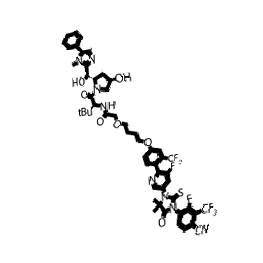 Cn1c(-c2ccccc2)cnc1C(O)[C@@H]1C[C@@H](O)CN1C(=O)[C@@H](NC(=O)COCCCCOc1ccc(-c2ncc(N3C(=S)N(c4ccc(C#N)c(C(F)(F)F)c4F)C(=O)C3(C)C)cc2F)c(C(F)(F)F)c1)C(C)(C)C